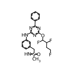 CS(=N)(=O)Cc1cccc(Nc2nc(OC(F)C(F)CCF)nc(-c3ccccc3)n2)c1